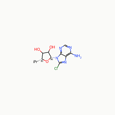 CC(C)[C@H]1O[C@@H](n2c(Cl)nc3c(N)ncnc32)C(O)C1O